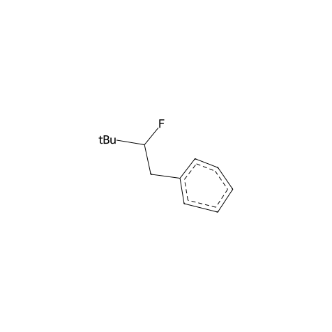 CC(C)(C)C(F)Cc1ccccc1